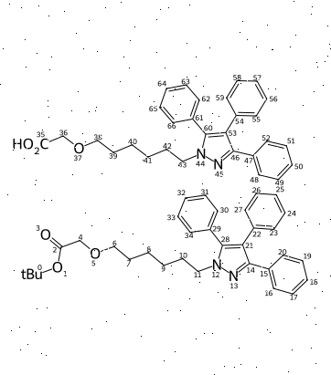 CC(C)(C)OC(=O)COCCCCCCn1nc(-c2ccccc2)c(-c2ccccc2)c1-c1ccccc1.O=C(O)COCCCCCCn1nc(-c2ccccc2)c(-c2ccccc2)c1-c1ccccc1